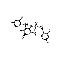 COc1cc(=O)n(C)c(Nc2ccc(I)cc2F)c1NS(=O)(=O)C1CC1c1ccc(Cl)cc1Cl